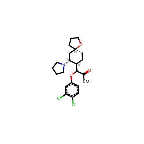 CNC(=O)C(Oc1ccc(Cl)c(Cl)c1)[C@@H]1CC[C@@]2(CCCO2)C[C@H]1N1CCCC1